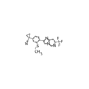 CCSc1cc(C2(C#N)CC2)ccc1-c1cn2cnc(C(F)(F)F)cc2n1